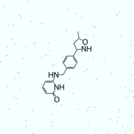 CC1CC(c2ccc(CNc3cccc(=O)[nH]3)cc2)NO1